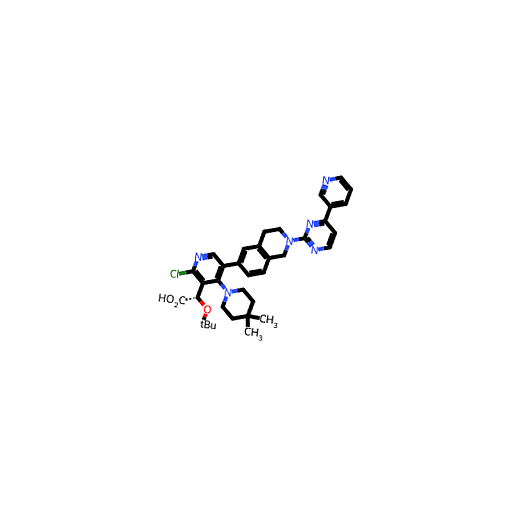 CC1(C)CCN(c2c(-c3ccc4c(c3)CCN(c3nccc(-c5cccnc5)n3)C4)cnc(Cl)c2[C@H](OC(C)(C)C)C(=O)O)CC1